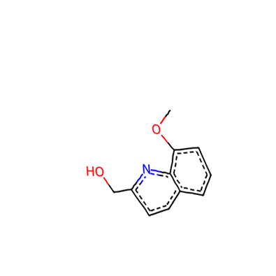 COc1cccc2ccc(CO)nc12